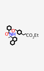 CCOC(=O)CCc1ccc(COc2ccccc2C(=O)N[C@H](C)c2cccc3ccccc23)cc1